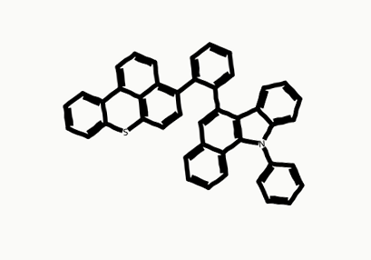 c1ccc(-n2c3ccccc3c3c(-c4ccccc4-c4ccc5c6c(cccc46)-c4ccccc4S5)cc4ccccc4c32)cc1